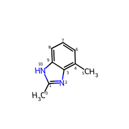 Cc1nc2c(C)cccc2[nH]1